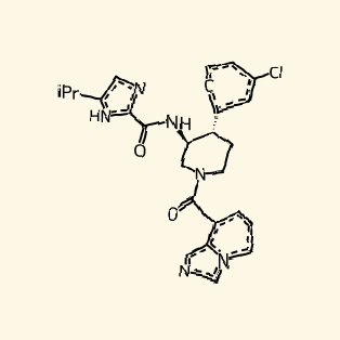 CC(C)c1cnc(C(=O)N[C@@H]2CN(C(=O)c3cccn4cncc34)CC[C@H]2c2cccc(Cl)c2)[nH]1